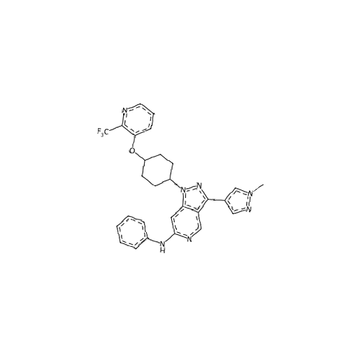 Cn1cc(-c2nn(C3CCC(Oc4cccnc4C(F)(F)F)CC3)c3cc(Nc4ccccc4)ncc23)cn1